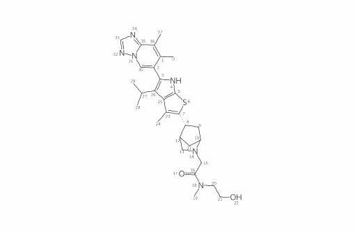 Cc1c(-c2[nH]c3sc([C@@H]4CC5CC4CN5CC(=O)N(C)CCO)c(C)c3c2C(C)C)cn2ncnc2c1C